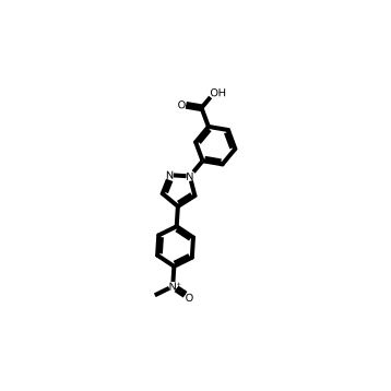 C[N+](=O)c1ccc(-c2cnn(-c3cccc(C(=O)O)c3)c2)cc1